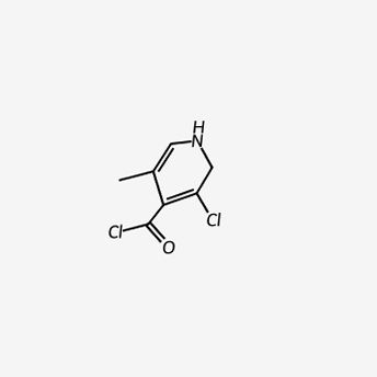 CC1=CNCC(Cl)=C1C(=O)Cl